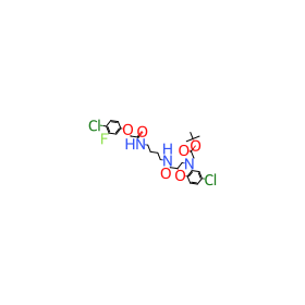 CC(C)(C)OC(=O)CN1CC(C(=O)NCCCCNC(=O)COc2ccc(Cl)c(F)c2)Oc2ccc(Cl)cc21